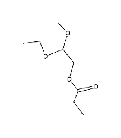 [CH2]CC(=O)OCC(OC)OCC